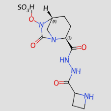 O=C(NNC(=O)[C@@H]1CC[C@@H]2CN1C(=O)N2OS(=O)(=O)O)C1CCN1